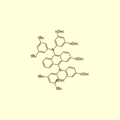 CCCCCCCCCCc1cc(CCCCCCCCCC)cc(N(c2cc(C(C)(C)C)cc(C(C)(C)C)c2)c2c3ccccc3c(N(c3cc(C(C)(C)C)cc(C(C)(C)C)c3)c3ccc(CCCCCCCCCC)cc3CCCCCCCCCC)c3cc(CCCCCCCCCC)ccc23)c1